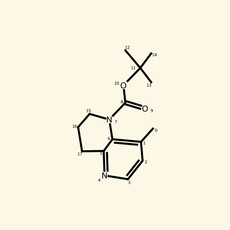 Cc1ccnc2c1N(C(=O)OC(C)(C)C)CCC2